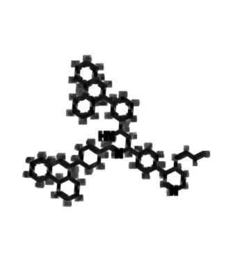 C=C/C=C\C1C=CN=CC1c1ccc(C2=CC(c3cccc(-c4cc5ccccc5c5ccccc45)c3)NC(C3=CC=C(C4=Cc5ccccc5C5C=CC=CC45)CC3)=N2)cc1